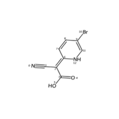 N#CC(C(=O)O)=C1C=CC(Br)=CN1